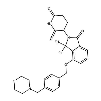 [2H]C1([2H])c2c(OCc3ccc(CN4CCOCC4)cc3)cccc2C(=O)N1C1CCC(=O)NC1=O